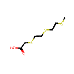 CSCCSCCSCC(=O)O